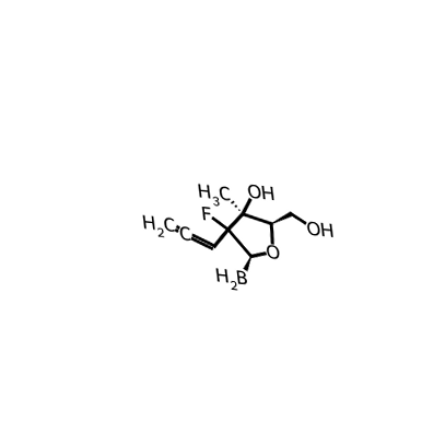 B[C@@H]1O[C@H](CO)[C@](C)(O)C1(F)C=C=C